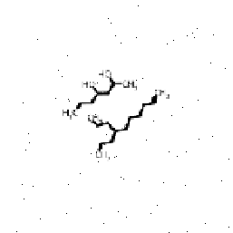 C=CCCCCC(CCC)CCC.CCCC(O)CC(C)O